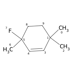 CC1(C)C=CC(C)(F)CC1